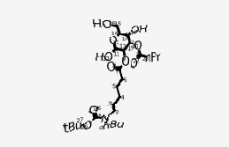 CCCCN(CCCCCC(=O)OC1C(O)OC(CO)[C@@H](O)[C@@H]1OC(=O)CCC)C(=O)OC(C)(C)C